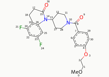 COCCOc1ccc(C(=O)N2CCC(N3C(=O)CCc4c(F)cc(F)cc43)CC2)cc1